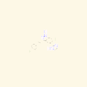 Fc1ccc(/C=C/c2n[nH]c3cc(F)c(-c4ncc[nH]4)cc23)cc1